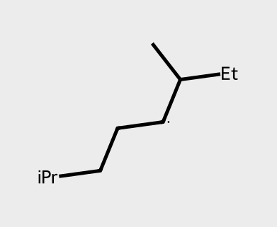 CCC(C)[CH]CCC(C)C